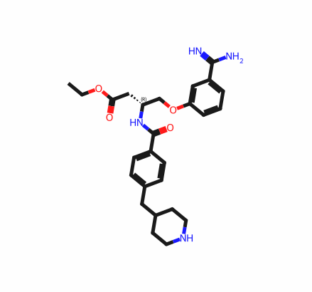 CCOC(=O)C[C@H](COc1cccc(C(=N)N)c1)NC(=O)c1ccc(CC2CCNCC2)cc1